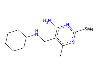 CSc1nc(C)c(CNC2CCCCC2)c(N)n1